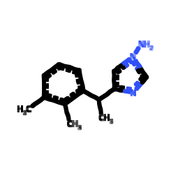 Cc1cccc(C(C)c2cn(N)cn2)c1C